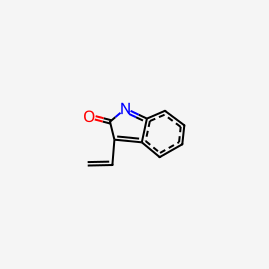 C=CC1=c2ccccc2=NC1=O